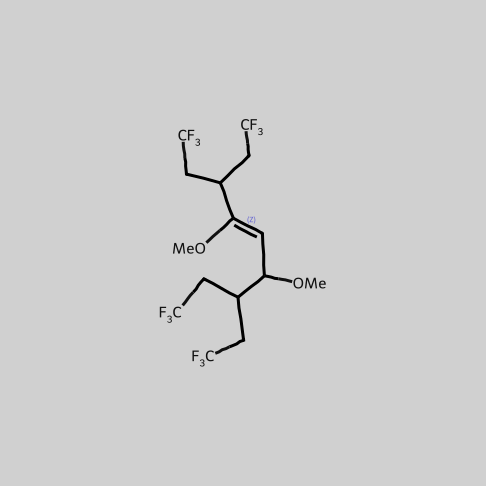 CO/C(=C\C(OC)C(CC(F)(F)F)CC(F)(F)F)C(CC(F)(F)F)CC(F)(F)F